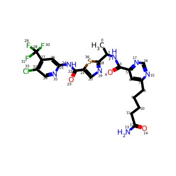 CC(NC(=O)c1cc(CCCCC(N)=O)ncn1)c1ncc(C(=O)Nc2cc(C(F)(F)F)c(Cl)cn2)s1